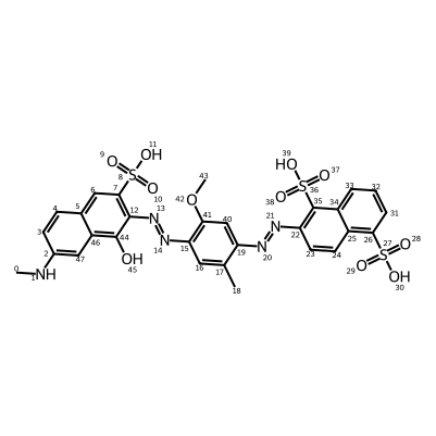 CNc1ccc2cc(S(=O)(=O)O)c(N=Nc3cc(C)c(N=Nc4ccc5c(S(=O)(=O)O)cccc5c4S(=O)(=O)O)cc3OC)c(O)c2c1